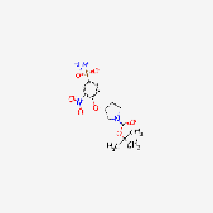 CC(C)(C)OC(=O)N1CC[C@@H](Oc2ccc(S(N)(=O)=O)cc2[N+](=O)[O-])C1